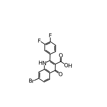 O=C(O)c1c(-c2ccc(F)c(F)c2)[nH]c2cc(Br)ccc2c1=O